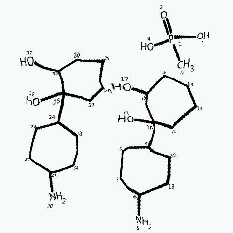 CP(=O)(O)O.NC1CCC(C2(O)CCCCC2O)CC1.NC1CCC(C2(O)CCCCC2O)CC1